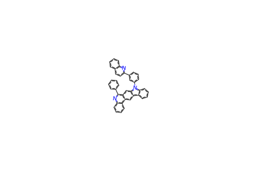 c1ccc(-c2nc3ccccc3c3cc4c5ccccc5n(-c5cccc(-c6ccc7ccccc7n6)c5)c4cc23)cc1